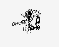 COc1cccc(Cn2ccnc2-c2cc(C)c(=O)n(C)c2)c1.Cc1cc(-c2nccn2Cc2ccc(C=O)nc2)cn(C)c1=O